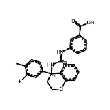 Cc1ccc([C@@]2(NC(=O)Nc3cccc(C(=O)O)c3)CCOc3cccnc32)cc1F